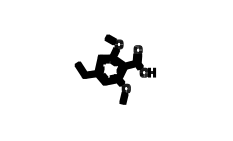 CCc1cc(OC)c(C(=O)O)c(OC)c1